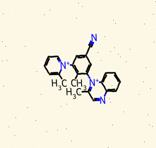 Cc1c(-[n+]2ccccc2C)cc(C#N)cc1-[n+]1c(C)cnc2ccccc21